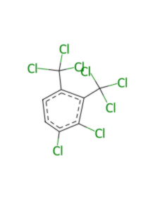 Clc1ccc(C(Cl)(Cl)Cl)c(C(Cl)(Cl)Cl)c1Cl